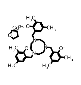 C1CCOC1.Cc1cc(C)c([O-])c(CN2CCN(Cc3cc(C)cc(C)c3[O-])CCN(Cc3cc(C)cc(C)c3[O-])CC2)c1.[Gd+3]